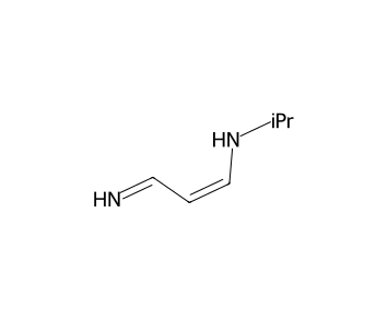 CC(C)N/C=C\C=N